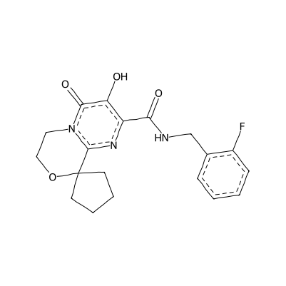 O=C(NCc1ccccc1F)c1nc2n(c(=O)c1O)CCOC21CCCC1